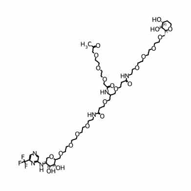 CC(=O)COCCOCCOCC(=O)NC(COCCC(=O)NCCOCCOCCOCCOCC1OC[C@H](Nc2cncc(C(F)(F)F)n2)[C@@H](O)[C@H]1O)COCCC(=O)NCCOCCOCCOCCOC[C@H]1OCC[C@@H](O)[C@H]1O